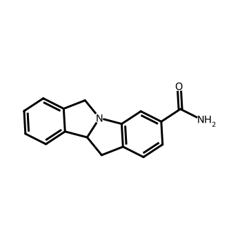 NC(=O)c1ccc2c(c1)N1Cc3ccccc3C1C2